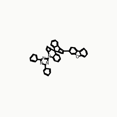 c1ccc(-c2nc(-c3ccccc3)nc(N3c4ccccc4C4(c5ccccc5-c5cc(-c6ccc7c(c6)oc6ccccc67)ccc54)c4ccccc43)n2)cc1